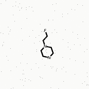 FCCN1CC[N]CC1